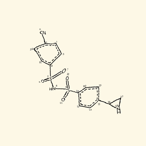 N#Cc1ccc(S(=O)(=O)NS(=O)(=O)c2ccc(C3CN3)cc2)cc1